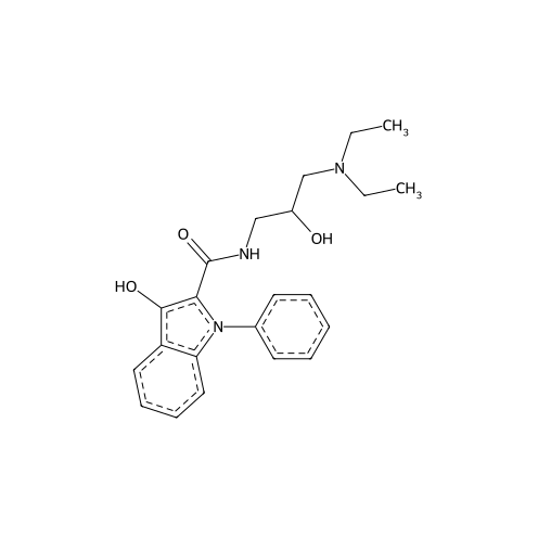 CCN(CC)CC(O)CNC(=O)c1c(O)c2ccccc2n1-c1ccccc1